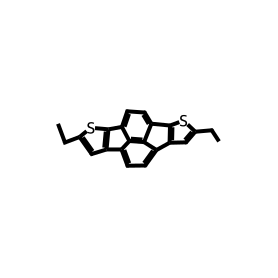 CCc1cc2c(s1)-c1ccc3c4c(ccc-2c14)-c1cc(CC)sc1-3